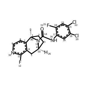 C[C@@]12CC[C@@H](Cc3c1ccnc3F)N2C(=O)Nc1cc(Cl)c(Cl)cc1F